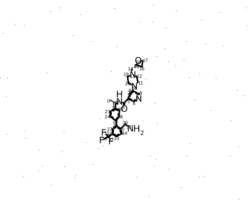 C[C@@H](NC(=O)c1cncc(N2CCN(C[C@H]3CCO3)CC2)c1)c1ccc(-c2cc(C(F)(F)F)ccc2CN)cc1